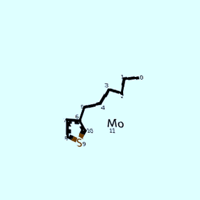 CCCCCCc1ccsc1.[Mo]